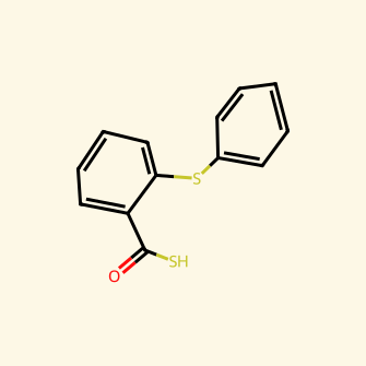 O=C(S)c1ccccc1Sc1ccccc1